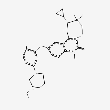 Cn1c(=O)c2c(c3cc(Nc4nc(N5CCC[C@@H](CF)C5)ncc4Cl)ccc31)N[C@@H](C1CC1)C(F)(F)CO2